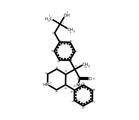 CC(C)(O)Cc1ccc(C(C)(C(N)=O)C2CCNCC2c2ccccc2)cc1